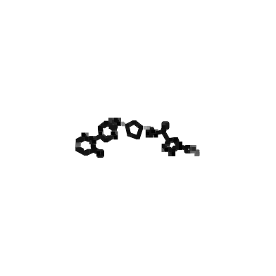 Cn1cc(C(=O)NC[C@@H]2CC[C@H](Nc3ccc(-n4ncccc4=O)cn3)C2)nn1